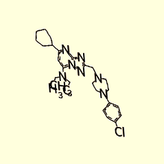 CCN(CC)c1cc(C2CCCCC2)nc2nc(CN3CCN(c4ccc(Cl)cc4)CC3)nn12